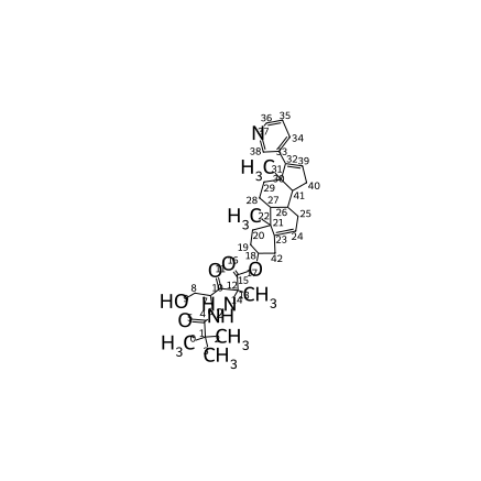 CC(C)(C)C(=O)NC(CO)C(=O)C(C)(N)C(=O)OC1CCC2(C)C(=CCC3C2CCC2(C)C(c4cccnc4)=CCC32)C1